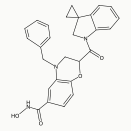 O=C(NO)c1ccc2c(c1)N(Cc1ccccc1)CC(C(=O)N1CC3(CC3)c3ccccc31)O2